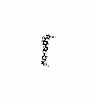 CC(C)(CN1CCC(COc2ccc(-c3ccc(C(=O)N4CC[C@@H](O)C4)c(F)c3)nc2)CC1)C(F)(F)F